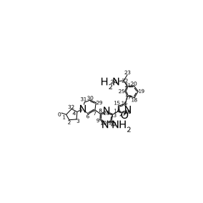 CC1CCC(N2C=C(c3cnc(N)c(-c4cc(-c5cccc(C(C)N)c5)no4)n3)C=CC2)C1